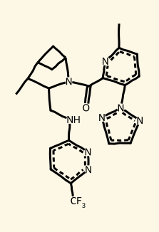 Cc1ccc(-n2nccn2)c(C(=O)N2C3CC(C3)C(C)C2CNc2ccc(C(F)(F)F)nn2)n1